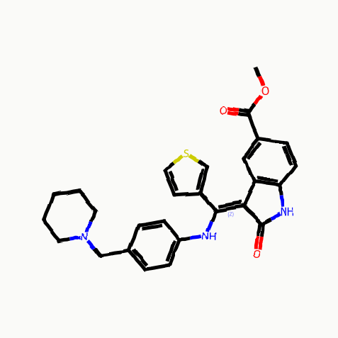 COC(=O)c1ccc2c(c1)/C(=C(/Nc1ccc(CN3CCCCC3)cc1)c1ccsc1)C(=O)N2